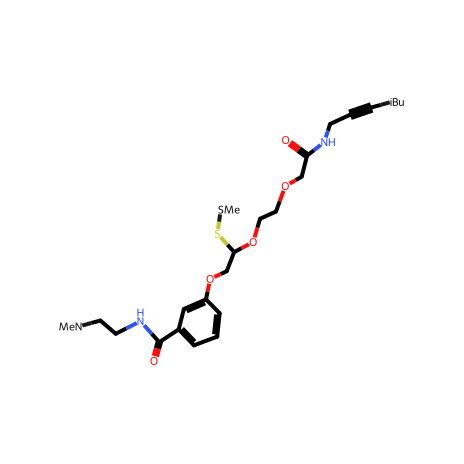 CCC(C)C#CCNC(=O)COCCOC(COc1cccc(C(=O)NCCNC)c1)SSC